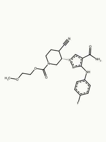 COCCOC(=O)N1CCC(C#N)[C@H](n2cc(C(N)=O)c(Nc3ccc(F)cc3)n2)C1